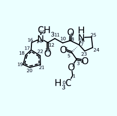 CCOC(=O)C(=O)[C@@]1(C(=O)CCC(=O)N(C)Cc2ccccc2)CCCN1